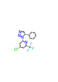 FC(F)(F)c1cc(Cl)cc(-n2nncc2-c2ccccc2)n1